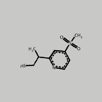 CC(CS)c1cc(S(C)(=O)=O)ccn1